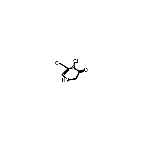 O=C1CNC=C(Cl)N1Cl